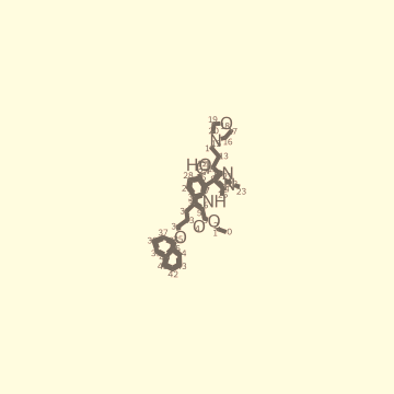 CCOC(=O)c1[nH]c2c(-c3c(C(O)CCN4CCOCC4)nn(C)c3C)c(Cl)ccc2c1CCCOc1cccc2ccccc12